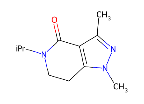 Cc1nn(C)c2c1C(=O)N(C(C)C)CC2